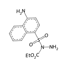 CCOC(=O)N(N)S(=O)(=O)c1ccc(N)c2ccccc12